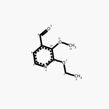 CCOc1nccc(C=O)c1OC